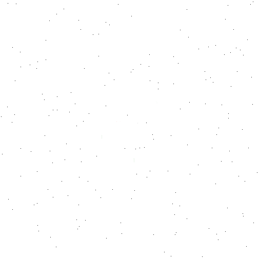 FC(F)(F)C(Cl)Br.FC(F)OC(F)(F)C(F)Cl